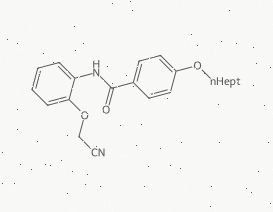 CCCCCCCOc1ccc(C(=O)Nc2ccccc2OCC#N)cc1